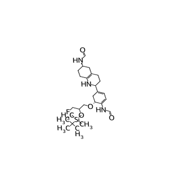 CC(C)(C)[Si](C)(C)OC(CF)CO[C@@H]1CC(C2CCC3=C(CC[C@@H](NC=O)C3)N2)=CC=C1NC=O